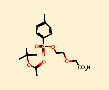 CC(=O)OC(C)(C)C.Cc1ccc(S(=O)(=O)OCCOCC(=O)O)cc1